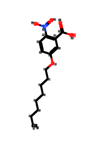 CCCCCCCCOc1ccc([N+](=O)[O-])c(C(=O)O)c1